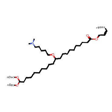 CCCCCC/C=C\COC(=O)CCCCCCCCCC(CCCCCCCCCC(OCCCCCCCCCC)OCCCCCCCCCC)OCCCCCN(C)C